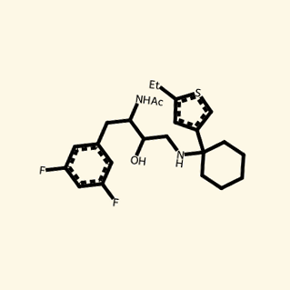 CCc1cc(C2(NCC(O)C(Cc3cc(F)cc(F)c3)NC(C)=O)CCCCC2)cs1